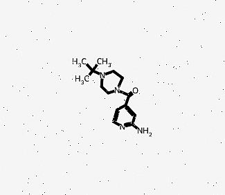 CC(C)(C)N1CCN(C(=O)c2ccnc(N)c2)CC1